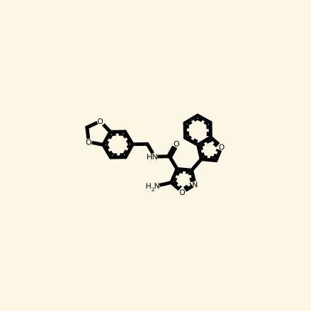 Nc1onc(-c2coc3ccccc23)c1C(=O)NCc1ccc2c(c1)OCO2